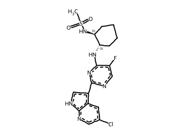 CS(=O)(=O)N[C@H]1CCCC[C@@H]1Nc1nc(-c2c[nH]c3ncc(Cl)cc23)ncc1F